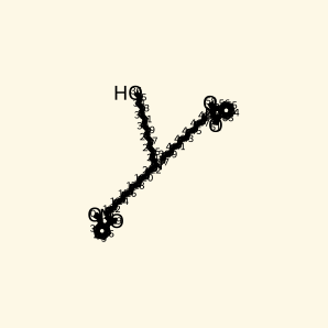 O=C1c2ccccc2C(=O)N1CCCCCCCCCCCCN(CCCCCCCCCCCCO)CCCCCCCCCCCCN1C(=O)c2ccccc2C1=O